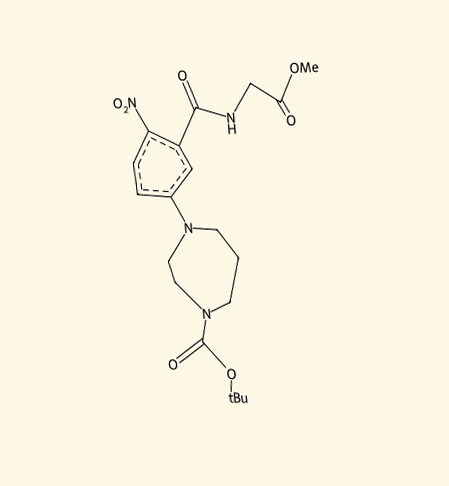 COC(=O)CNC(=O)c1cc(N2CCCN(C(=O)OC(C)(C)C)CC2)ccc1[N+](=O)[O-]